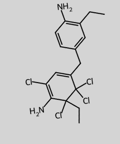 CCc1cc(CC2=CC(Cl)=C(N)C(Cl)(CC)C2(Cl)Cl)ccc1N